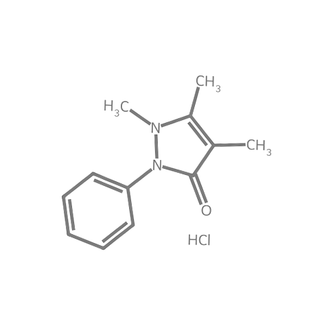 Cc1c(C)n(C)n(-c2ccccc2)c1=O.Cl